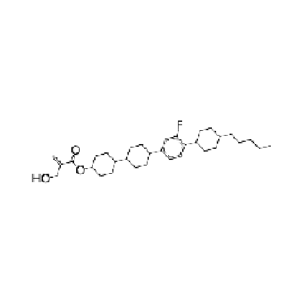 C=C(CO)C(=O)OC1CCC(C2CCC(c3ccc(C4CCC(CCCCC)CC4)c(F)c3)CC2)CC1